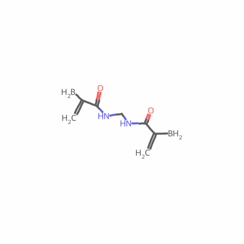 BC(=C)C(=O)NCNC(=O)C(B)=C